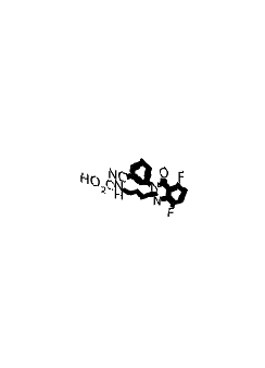 N#Cc1cccc(-n2c(CCCNC(=O)O)nc3c(F)ccc(F)c3c2=O)c1